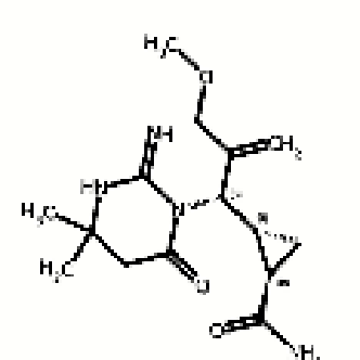 C=C(COC)[C@H]([C@@H]1C[C@H]1C(N)=O)N1C(=N)NC(C)(C)CC1=O